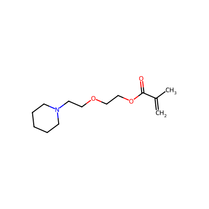 C=C(C)C(=O)OCCOCCN1CCCCC1